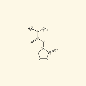 CC(C)C(=O)CN1CCCC1=O